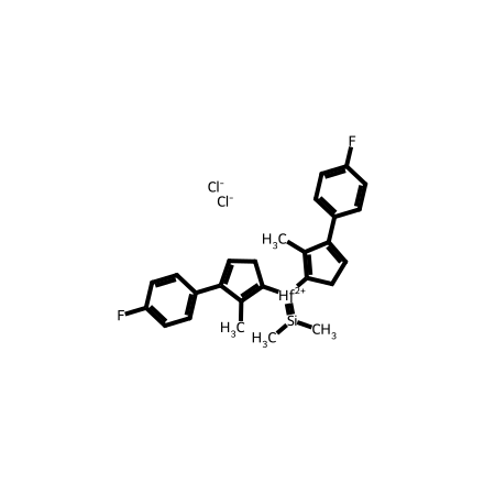 CC1=[C]([Hf+2]([C]2=C(C)C(c3ccc(F)cc3)=CC2)=[Si](C)C)CC=C1c1ccc(F)cc1.[Cl-].[Cl-]